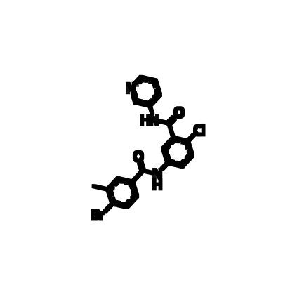 Cc1cc(C(=O)Nc2ccc(Cl)c(C(=O)Nc3cccnc3)c2)ccc1Br